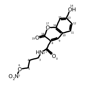 O=C(NCCCO[N+](=O)[O-])c1cc2ccc(O)cc2oc1=O